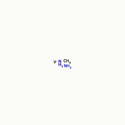 C.N.N.[V]